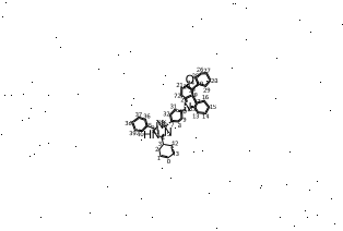 C1=CCC(C2=NC(c3ccc(-n4c5ccccc5c5c6c(ccc54)oc4ccccc46)cc3)=NC(c3ccccc3)N2)C=C1